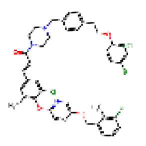 Cc1cc(/C=C/C(=O)N2CCN(Cc3ccc(CCOc4ccc(F)cc4)cc3)CC2)cc(Cl)c1Oc1ccc(OCc2cccc(F)c2C)cn1.Cl